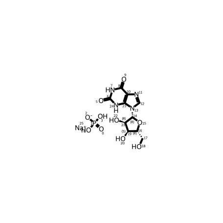 O=P([O-])(O)O.O=c1[nH]c(=O)c2ncn([C@@H]3O[C@H](CO)[C@@H](O)[C@H]3O)c2[nH]1.[Na+]